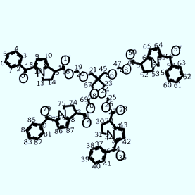 O=C(c1ccccc1)c1ccc2n1CCC2C(=O)OCOCC(COCOC(=O)C1CCn2c(C(=O)c3ccccc3)ccc21)(COCOC(=O)C1CCn2c(C(=O)c3ccccc3)ccc21)COCOC(=O)C1CCn2c(C(=O)c3ccccc3)ccc21